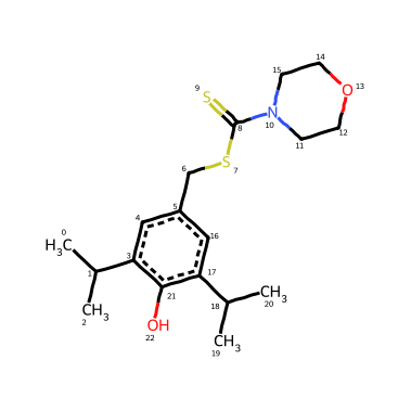 CC(C)c1cc(CSC(=S)N2CCOCC2)cc(C(C)C)c1O